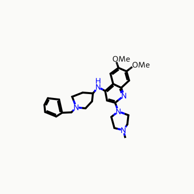 COc1cc2nc(N3CCN(C)CC3)cc(NC3CCN(Cc4ccccc4)CC3)c2cc1OC